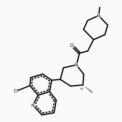 C[C@@H]1CC(c2ccc(Cl)c3ncccc23)CN(C(=O)CC2CCN(C)CC2)C1